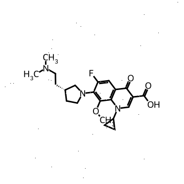 COc1c(N2CC[C@H](CCN(C)C)C2)c(F)cc2c(=O)c(C(=O)O)cn(C3CC3)c12